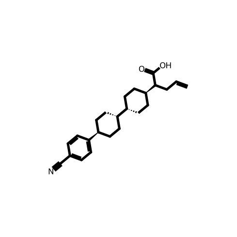 C=CCC(C(=O)O)[C@H]1CC[C@H]([C@H]2CC[C@H](c3ccc(C#N)cc3)CC2)CC1